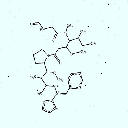 CCC(C)C(C(CC(=O)N1CCCC1C(OC)C(C)C(O)N[C@@H](Cc1ccccc1)c1nccs1)OC)N(C)C(=O)CNC=O